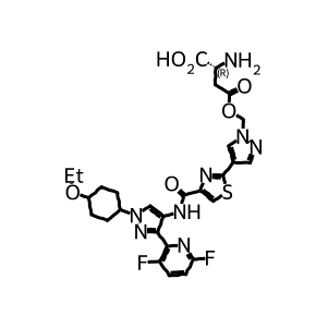 CCOC1CCC(n2cc(NC(=O)c3csc(-c4cnn(COC(=O)C[C@@H](N)C(=O)O)c4)n3)c(-c3nc(F)ccc3F)n2)CC1